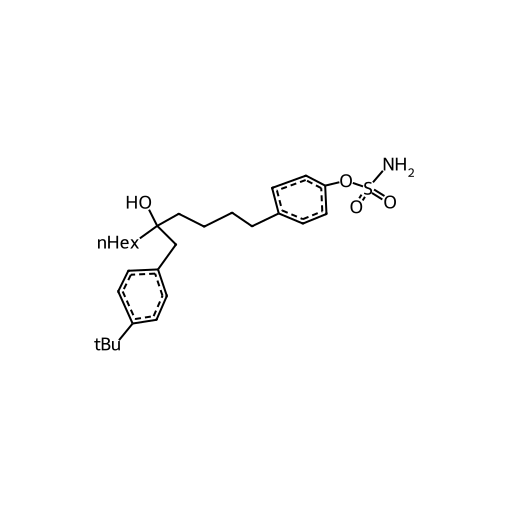 CCCCCCC(O)(CCCCc1ccc(OS(N)(=O)=O)cc1)Cc1ccc(C(C)(C)C)cc1